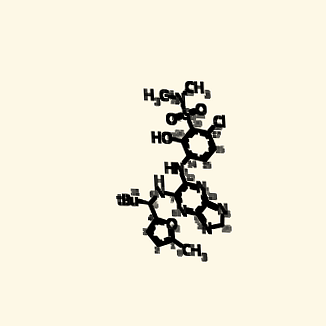 Cc1ccc([C@H](Nc2nc3c(nc2Nc2ccc(Cl)c(S(=O)(=O)N(C)C)c2O)=NCN=3)C(C)(C)C)o1